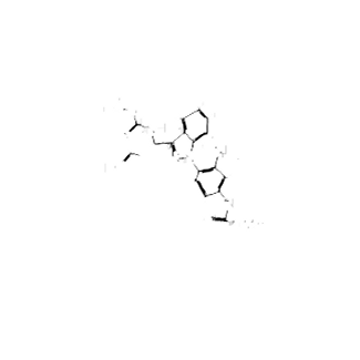 C=CC[C@H](NC(=O)OC(C)(C)C)c1nn(-c2ccc(NC(=O)OC)cc2N)c2ccccc12